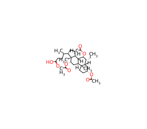 CC[C@H]1[C@@H](OC(C)=O)[C@@H]2[C@H](C[C@H](OC(C)=O)[C@]3(C)[C@@H]([C@H](C)CCC(=O)O)CC[C@@H]23)[C@@]2(C)CC[C@@H](OC(C)=O)C[C@@H]12